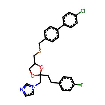 Fc1ccc(CCC2(Cn3ccnc3)OCC(CSCc3ccc(-c4ccc(Cl)cc4)cc3)O2)cc1